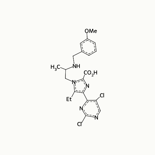 CCc1c(-c2nc(Cl)ncc2Cl)nc(C(=O)O)n1CC(C)NCc1cccc(OC)c1